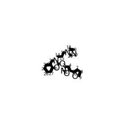 O=C(Oc1cc(-c2ccco2)on1)N(CCCn1ccnc1)Cc1ccccc1